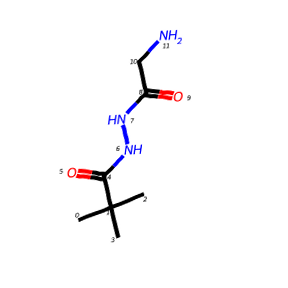 CC(C)(C)C(=O)NNC(=O)CN